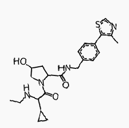 CCNC(C(=O)N1CC(O)CC1C(=O)NCc1ccc(-c2scnc2C)cc1)C1CC1